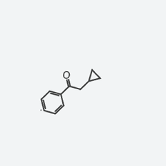 O=C(CC1CC1)c1cc[c]cc1